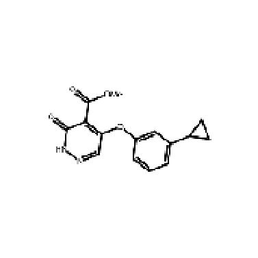 COC(=O)c1c(Oc2cccc(C3CC3)c2)cn[nH]c1=O